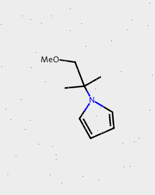 COCC(C)(C)n1cccc1